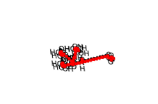 O=C(CCCCCCCCCCCCCCCCC(=O)ON1C(=O)CCC1=O)NCCCC[C@@H](C(=O)NCCOC1OC(CO)C(O)C(O)C1O)N(CC(=O)NCCOC1OC(CO)C(O)C(O)C1O)CC(=O)NCCOC1OC(CO)C(O)C(O)C1O